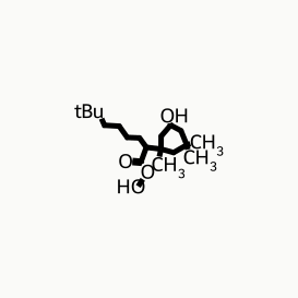 CC(C)(C)CCCCC(C(=O)OO)C1(C)CC(O)CC(C)(C)C1